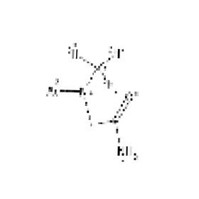 [2H]C([2H])([2H])N(CC(N)=O)C(C)=O